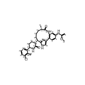 C=C(Nc1ccc2c(c1)NC(=O)[C@H](C)CCC[C@H](N1CCC(c3nccc(Cl)c3F)NC1=O)c1nc-2c[nH]1)OC